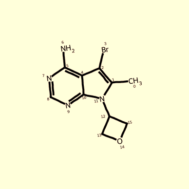 Cc1c(Br)c2c(N)ncnc2n1C1COC1